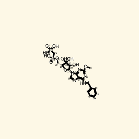 COc1nc(NCc2ccccc2)c2ncn([C@@H]3O[C@H](COP(=O)(O)CP(=O)(O)O)C(O)(O)[C@H]3O)c2n1